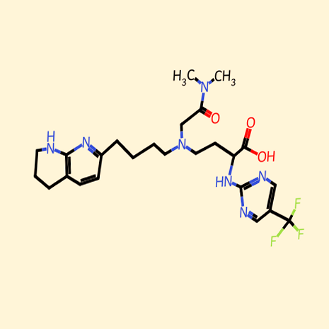 CN(C)C(=O)CN(CCCCc1ccc2c(n1)NCCC2)CCC(Nc1ncc(C(F)(F)F)cn1)C(=O)O